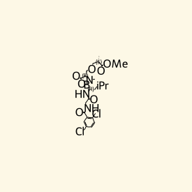 COC(=O)[C@@H](C)COC[C@@H]1C(=O)OB([C@H](CC(C)C)NC(=O)CNC(=O)c2cc(Cl)ccc2Cl)N1C